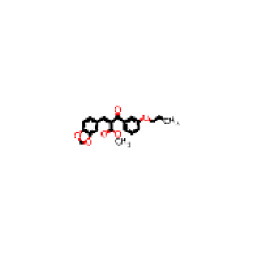 CCCOc1cccc(C(=O)C(=Cc2ccc3c(c2)OCO3)C(=O)OC)c1